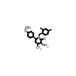 CCCCOc1ccc(-c2cc(C(F)(F)F)c(N)c(=O)n2Cc2ccc(C)cc2C)cc1